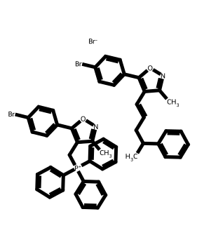 Cc1noc(-c2ccc(Br)cc2)c1C=CCC(C)c1ccccc1.Cc1noc(-c2ccc(Br)cc2)c1C[P+](c1ccccc1)(c1ccccc1)c1ccccc1.[Br-]